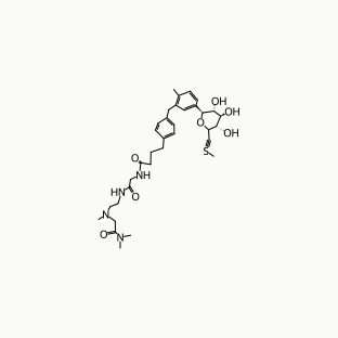 CS#CC1O[C@@H](c2ccc(C)c(Cc3ccc(CCCC(=O)NCC(=O)NCCN(C)CC(=O)N(C)C)cc3)c2)[C@H](O)[C@@H](O)[C@@H]1O